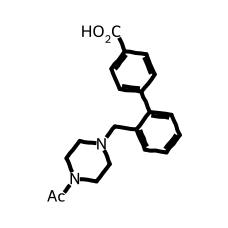 CC(=O)N1CCN(Cc2ccccc2-c2ccc(C(=O)O)cc2)CC1